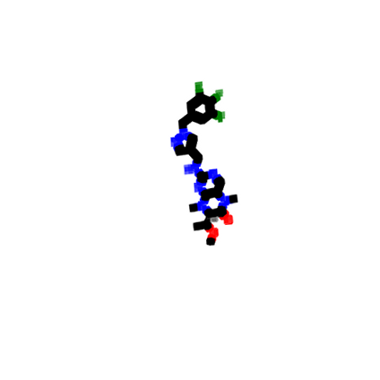 COC(C)[C@H]1C(=O)N(C)c2cnc(NCc3cnn(Cc4cc(F)c(F)c(F)c4)c3)nc2N1C